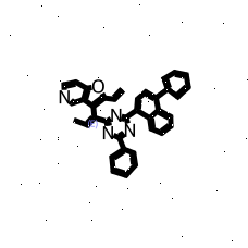 C=Cc1oc2ccncc2c1/C(=C\C)c1nc(-c2ccccc2)nc(-c2ccc(-c3ccccc3)c3ccccc23)n1